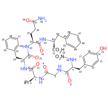 CC(C)[C@H](NC(=O)CNC(=O)[C@H](Cc1ccc(O)cc1)N[N+](=O)[O-])C(=O)N[C@@H](Cc1ccccc1)C(=O)N[C@@H](CCC(N)=O)C(=O)N[C@@H](Cc1ccccc1)C(=O)O